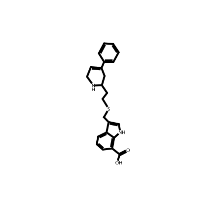 O=C(O)c1cccc2c(CSCCC3CC(c4ccccc4)=CCN3)c[nH]c12